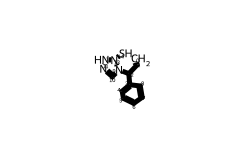 C=CC(c1ccccc1)N1C=NNN1S